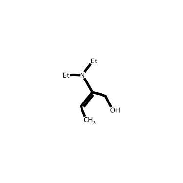 CC=C(CO)N(CC)CC